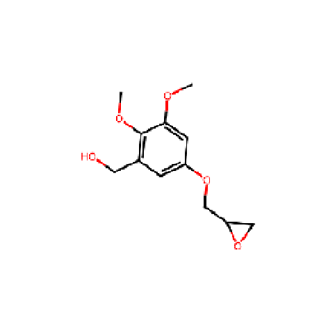 COc1cc(OCC2CO2)cc(CO)c1OC